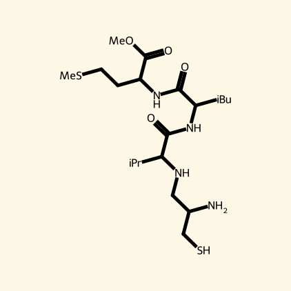 CCC(C)C(NC(=O)C(NCC(N)CS)C(C)C)C(=O)NC(CCSC)C(=O)OC